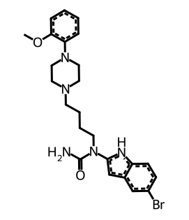 COc1ccccc1N1CCN(CCCCN(C(N)=O)c2cc3cc(Br)ccc3[nH]2)CC1